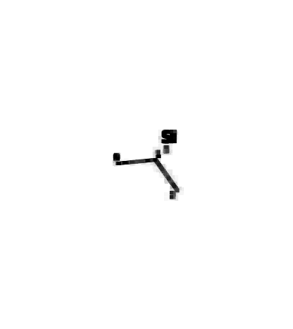 CCC.[Si]